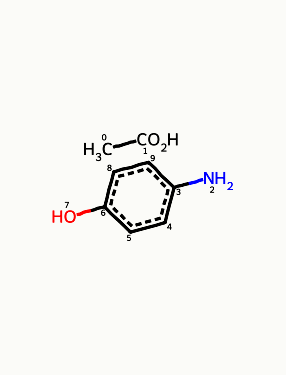 CC(=O)O.Nc1ccc(O)cc1